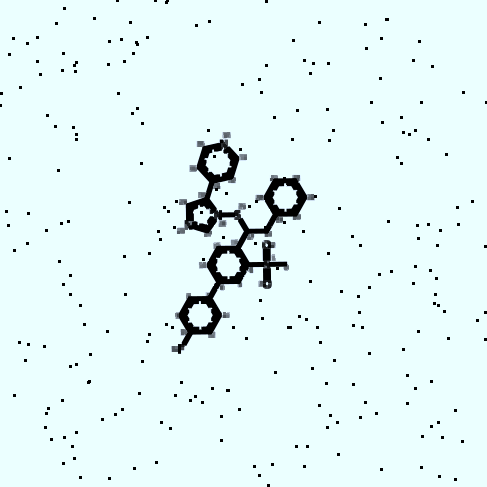 CS(=O)(=O)c1cc(-c2ccc(F)cc2)ccc1C(Cc1ccccc1)Sn1cncc1-c1ccncc1